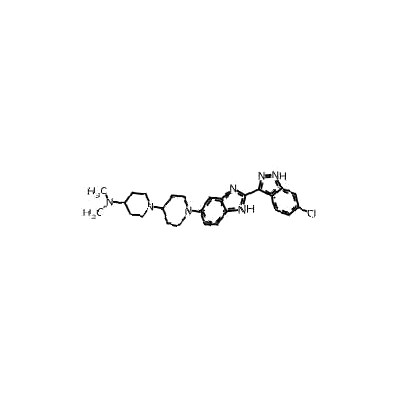 CN(C)C1CCN(C2CCN(c3ccc4[nH]c(-c5n[nH]c6cc(Cl)ccc56)nc4c3)CC2)CC1